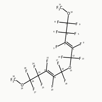 FC(=C(F)C(F)(F)C(F)(F)OC(F)(F)F)C(F)(F)OC(F)(F)C(F)=C(F)C(F)(F)C(F)(F)OC(F)(F)F